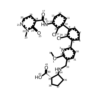 COc1nc(-c2cccc(-c3cccc(NC(=O)c4ccnn(C)c4=O)c3Cl)c2Cl)ccc1CNC1CCC[C@@H]1C(=O)O